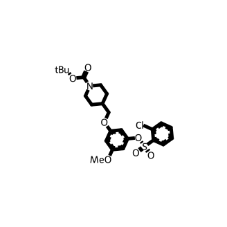 COc1cc(OCC2CCN(C(=O)OC(C)(C)C)CC2)cc(OS(=O)(=O)c2ccccc2Cl)c1